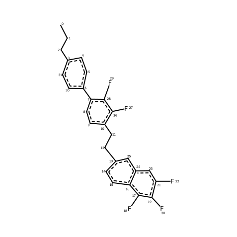 CCCc1ccc(-c2ccc(CCc3ccc4c(F)c(F)c(F)cc4c3)c(F)c2F)cc1